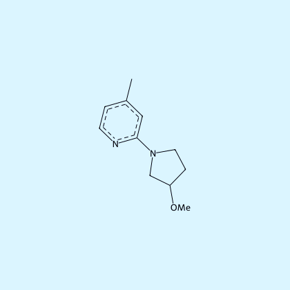 COC1CCN(c2cc(C)ccn2)C1